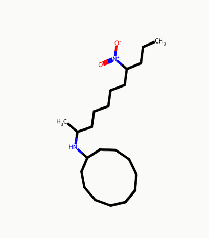 CCCC(CCCCCC(C)NC1CCCCCCCCCC1)[N+](=O)[O-]